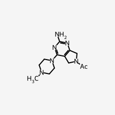 CC(=O)N1Cc2nc(N)nc(N3CCN(C)CC3)c2C1